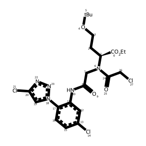 CCOC(=O)[C@H](CCOC(C)(C)C)N(CC(=O)Nc1cc(Cl)ccc1-n1cc(Cl)nn1)C(=O)CCl